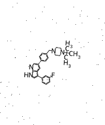 CC(C)(C)N1CCN(Cc2ccc(-c3cnc4[nH]cc(-c5cccc(F)c5)c4c3)cc2)CC1